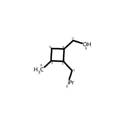 CC(C)CC1C(C)CC1CO